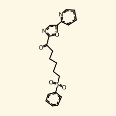 O=C(CCCCCS(=O)(=O)c1ccccc1)c1ncc(-c2ccccn2)o1